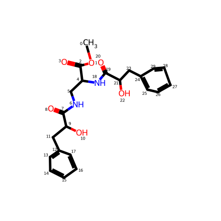 COC(=O)C(CNC(=O)C(O)Cc1ccccc1)NC(=O)C(O)Cc1ccccc1